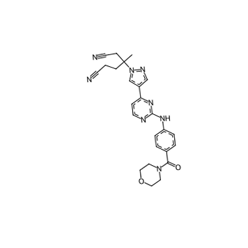 CC(CC#N)(CCC#N)n1cc(-c2ccnc(Nc3ccc(C(=O)N4CCOCC4)cc3)n2)cn1